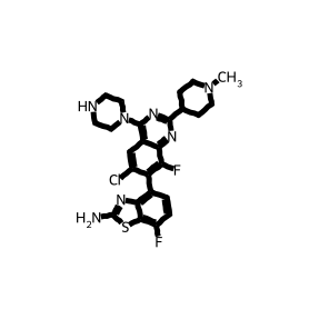 CN1CCC(c2nc(N3CCNCC3)c3cc(Cl)c(-c4ccc(F)c5sc(N)nc45)c(F)c3n2)CC1